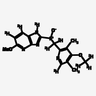 [2H]c1nc(C([2H])([2H])[S+]([O-])c2nc3nc(OC)c([2H])c([2H])c3n2[2H])c(C)c(OC([2H])([2H])[2H])c1C